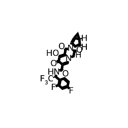 O=C(N[C@@H](c1ccc(F)cc1F)C(F)(F)F)c1cn2c(c(O)c1=O)C(=O)N1C3=C4C[C@@H]4[C@H](C3)O[C@@H]1C2